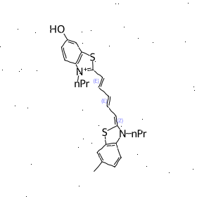 CCCN1/C(=C/C=C/C=C/c2sc3cc(O)ccc3[n+]2CCC)Sc2cc(C)ccc21